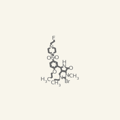 CCCOc1ccc(S(=O)(=O)N2CCN(CCF)CC2)cc1C1NC(=O)C2=C1CN(CCC)C(Br)N2C